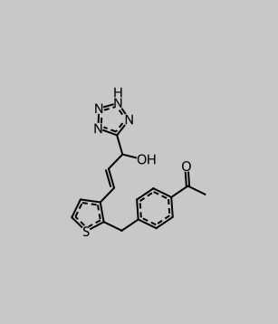 CC(=O)c1ccc(Cc2sccc2C=CC(O)c2nn[nH]n2)cc1